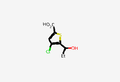 CCC(O)c1sc(C(=O)O)cc1Cl